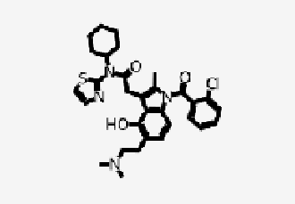 Cc1c(CC(=O)N(c2nccs2)C2CCCCC2)c2c(O)c(CCN(C)C)ccc2n1C(=O)c1ccccc1Cl